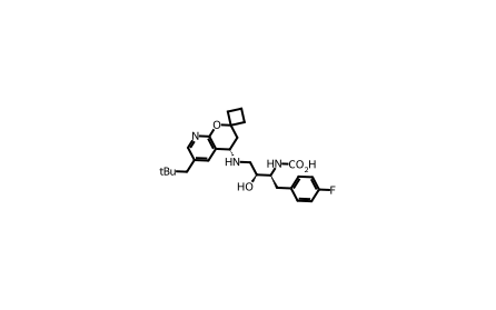 CC(C)(C)Cc1cnc2c(c1)[C@@H](NC[C@H](O)[C@H](Cc1ccc(F)cc1)NC(=O)O)CC1(CCC1)O2